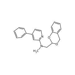 CN(CC1OCc2ccccc2O1)c1cc(-c2ccccc2)ccn1